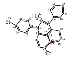 CCc1ccc(N(C(C)=C(c2ccccc2)c2ccccc2)c2ccc(CC)cc2)cc1